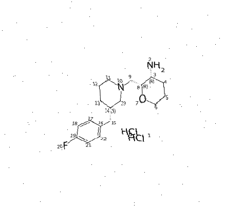 Cl.Cl.N[C@@H]1CCCO[C@@H]1CN1CCC[C@@H](Cc2ccc(F)cc2)C1